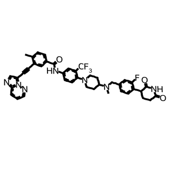 Cc1ccc(C(=O)Nc2ccc(N3CCC(N(C)Cc4ccc(C5CCC(=O)NC5=O)c(F)c4)CC3)c(C(F)(F)F)c2)cc1C#Cc1cnc2cccnn12